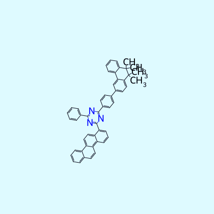 CC1(C)c2ccccc2-c2cc(-c3ccc(-c4nc(-c5ccccc5)nc(-c5cccc6c5ccc5c7ccccc7ccc65)n4)cc3)ccc2C1(C)C